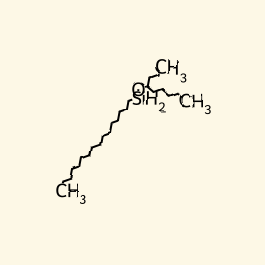 CCCCCCCCCCCCCCCC[SiH2]OC(CCC)CCCCC